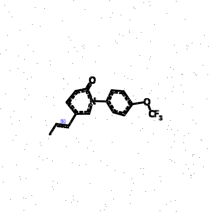 C/C=C/c1ccc(=O)n(-c2ccc(OC(F)(F)F)cc2)c1